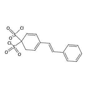 O=S(=O)(Cl)C1(S(=O)(=O)Cl)C=CC(C=Cc2ccccc2)=CC1